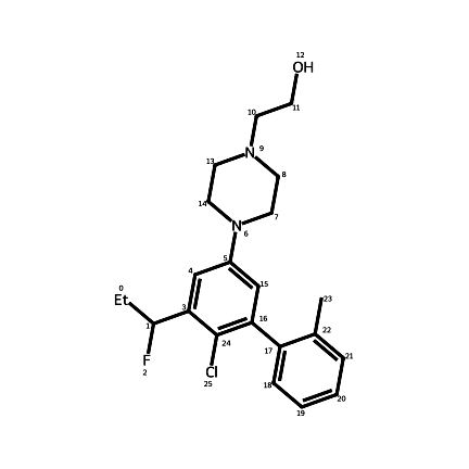 CCC(F)c1cc(N2CCN(CCO)CC2)cc(-c2ccccc2C)c1Cl